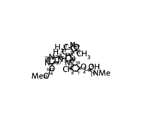 CNC[C@@H](O)COc1ccc(Cl)c(-c2nc(-c3c(C)noc3C)c(C)c(N3Cc4ncnc(OCCOC)c4C3)n2)c1